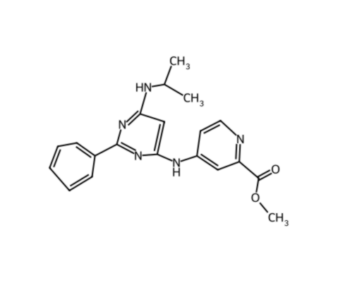 COC(=O)c1cc(Nc2cc(NC(C)C)nc(-c3ccccc3)n2)ccn1